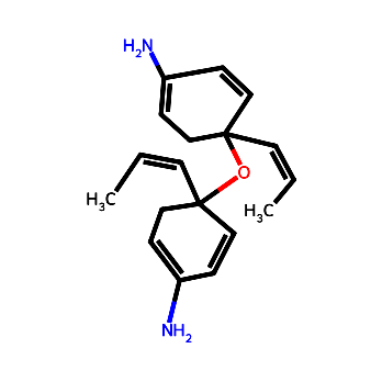 C/C=C\C1(OC2(/C=C\C)C=CC(N)=CC2)C=CC(N)=CC1